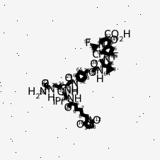 CC(C)[C@H](NC(=O)CCCCCN1C(=O)C=CC1=O)C(=O)N[C@@H](CCCNC(N)=O)C(=O)Nc1ccc(COC(=O)N[C@@H]2CN(c3c(F)cc4c(=O)c(C(=O)O)cn([C@@H]5C[C@@H]5F)c4c3Cl)CC23CC3)cc1